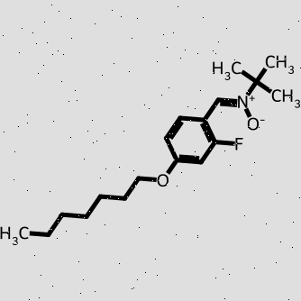 CCCCCCCOc1ccc(C=[N+]([O-])C(C)(C)C)c(F)c1